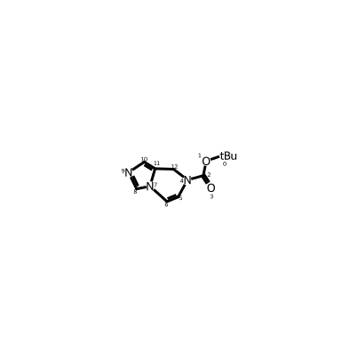 CC(C)(C)OC(=O)N1C=Cn2cncc2C1